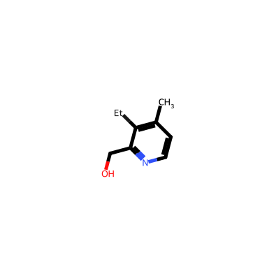 CCc1c(C)ccnc1CO